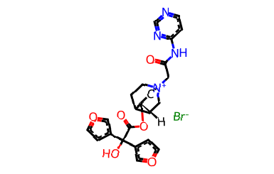 O=C(C[N+]12CCC(CC1)[C@@H](OC(=O)C(O)(c1ccoc1)c1ccoc1)C2)Nc1ccncn1.[Br-]